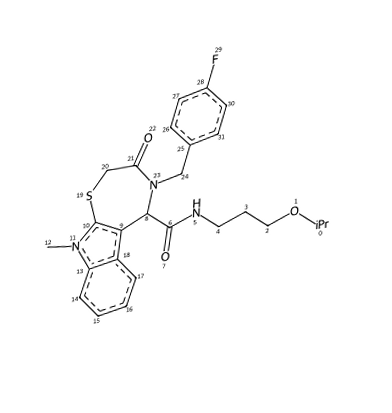 CC(C)OCCCNC(=O)C1c2c(n(C)c3ccccc23)SCC(=O)N1Cc1ccc(F)cc1